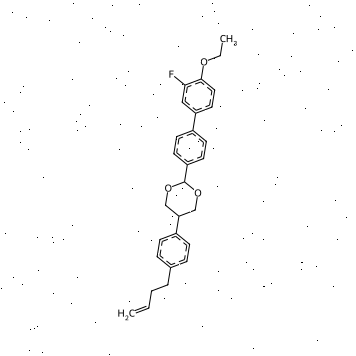 C=CCCc1ccc(C2COC(c3ccc(-c4ccc(OCC)c(F)c4)cc3)OC2)cc1